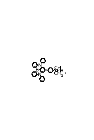 C[Si](C)(C)c1ccc(-c2cc3c4c(c2)N(c2ccccc2)c2ccccc2B4c2ccccc2N3c2ccccc2)cc1